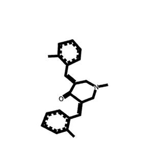 Cc1ccccc1C=C1CN(C)CC(=Cc2ccccc2C)C1=O